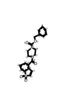 O=C(OCc1ccccc1)N1CCN(C(=O)c2cccc3c2C=CS3(=O)=O)CC1